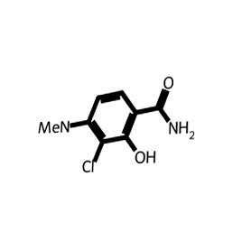 CNc1ccc(C(N)=O)c(O)c1Cl